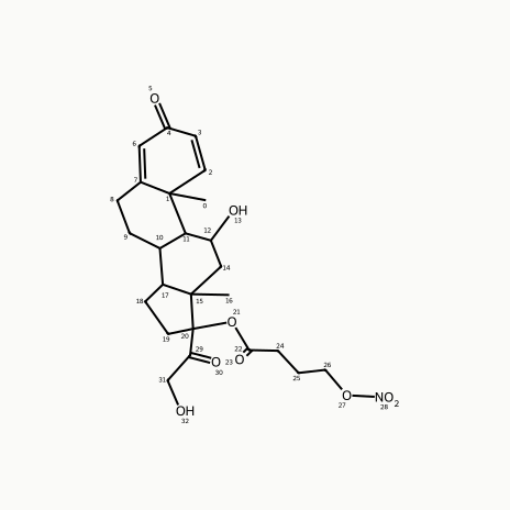 CC12C=CC(=O)C=C1CCC1C2C(O)CC2(C)C1CCC2(OC(=O)CCCO[N+](=O)[O-])C(=O)CO